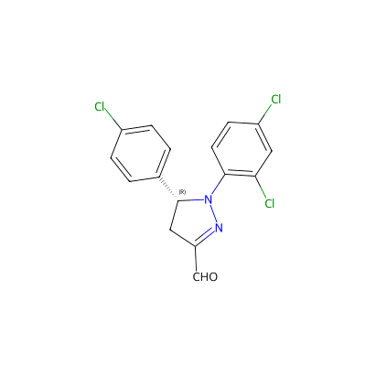 O=CC1=NN(c2ccc(Cl)cc2Cl)[C@@H](c2ccc(Cl)cc2)C1